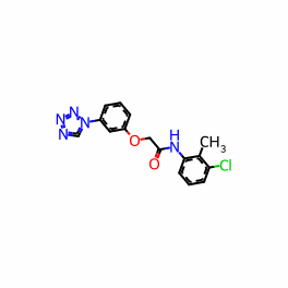 Cc1c(Cl)cccc1NC(=O)COc1cccc(-n2cnnn2)c1